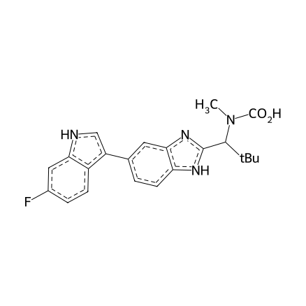 CN(C(=O)O)C(c1nc2cc(-c3c[nH]c4cc(F)ccc34)ccc2[nH]1)C(C)(C)C